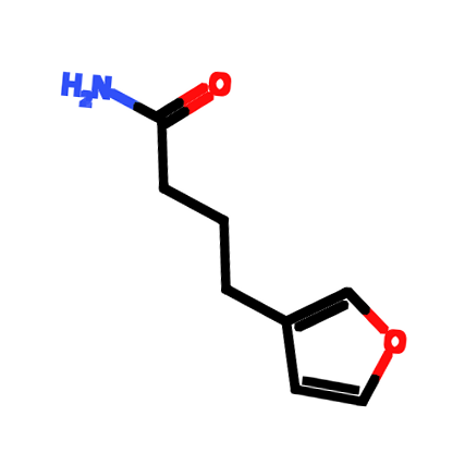 NC(=O)CCCc1ccoc1